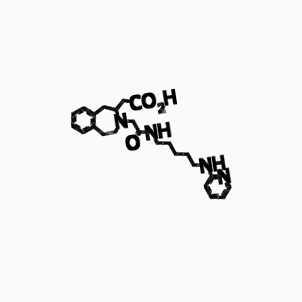 O=C(O)CC1Cc2ccccc2CCN1CC(=O)NCCCCCNc1ccccn1